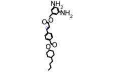 CCCCC1CCC(OC(=O)c2ccc(/C=C/C(=O)OCc3cc(N)cc(N)c3)cc2)CC1